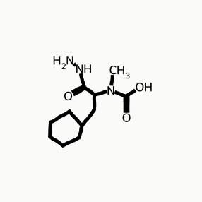 CN(C(=O)O)C(CC1CCCCC1)C(=O)NN